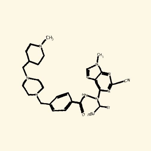 CCCCC(CC)N(NC(=O)c1ccc(CN2CCN(CC3CCN(C)CC3)CC2)cc1)c1nc(C#N)nc2c1ncn2C